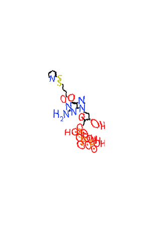 Nc1nc(OC(=O)CCCSSc2ccccn2)c2ncn(C3CC(O)C(COP(=O)(O)OP(=O)(O)OP(=O)(O)O)O3)c2n1